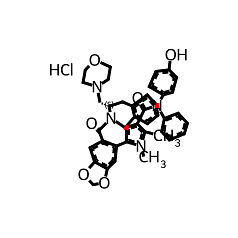 Cc1c(C(=O)N(c2ccccc2)c2ccc(O)cc2)cc(-c2cc3c(cc2C(=O)N2Cc4ccccc4C[C@H]2CN2CCOCC2)OCO3)n1C.Cl